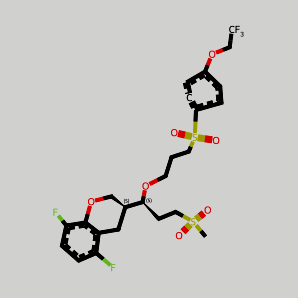 CS(=O)(=O)CC[C@H](OCCCS(=O)(=O)c1ccc(OCC(F)(F)F)cc1)[C@@H]1COc2c(F)ccc(F)c2C1